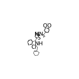 Clc1ccccc1C(NCCC1=CCCCC1)c1cnc(NC2(c3ccc4c(c3)OCO4)CC2)s1